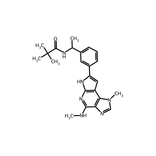 CNc1nc2[nH]c(-c3cccc(C(C)NC(=O)C(C)(C)C)c3)cc2c2c1ncn2C